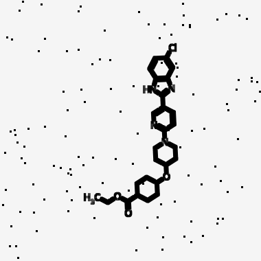 CCOC(=O)C1CCC(OC2CCN(c3ccc(-c4nc5cc(Cl)ccc5[nH]4)cn3)CC2)CC1